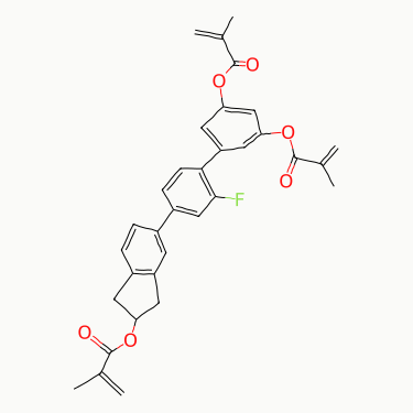 C=C(C)C(=O)Oc1cc(OC(=O)C(=C)C)cc(-c2ccc(-c3ccc4c(c3)CC(OC(=O)C(=C)C)C4)cc2F)c1